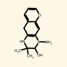 CC1(C)NC2=C(C=C3OC=CC=C3C2)N(N)C1O